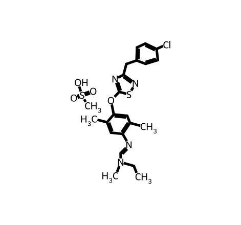 CCN(C)C=Nc1cc(C)c(Oc2nc(Cc3ccc(Cl)cc3)ns2)cc1C.CS(=O)(=O)O